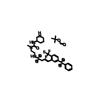 CC(C)(C)OC=O.CN(CCNS(=O)(=O)CC=Cc1cc(S(=O)(=O)c2ccccc2)ccc1C(F)(F)F)C(=O)NC1CCCNC1